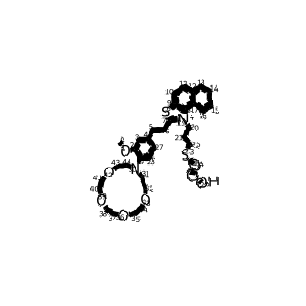 COc1cc(/C=C/c2sc3ccc4ccccc4c3[n+]2CCCSOOO)ccc1N1CCOCCOCCOCCOCC1